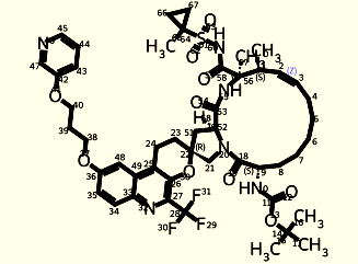 C[C@H]1/C=C\CCCCC[C@H](NC(=O)OC(C)(C)C)C(=O)N2C[C@@]3(CCc4c(c(C(F)(F)F)nc5ccc(OCCCOc6cccnc6)cc45)O3)C[C@H]2C(=O)N[C@@]1(C)C(=O)NS(=O)(=O)C1(C)CC1